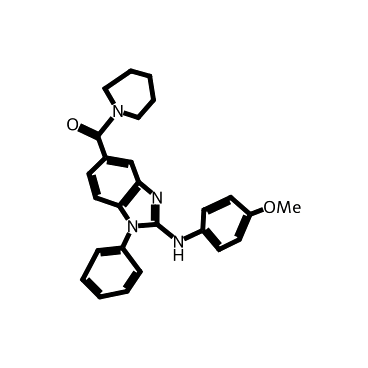 COc1ccc(Nc2nc3cc(C(=O)N4CCCCC4)ccc3n2-c2ccccc2)cc1